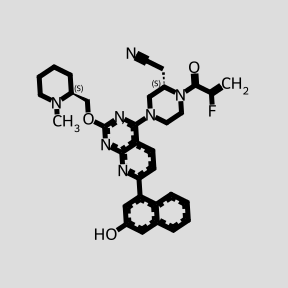 C=C(F)C(=O)N1CCN(c2nc(OC[C@@H]3CCCCN3C)nc3nc(-c4cc(O)cc5ccccc45)ccc23)C[C@@H]1CC#N